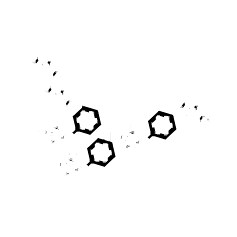 O=[As](O)(F)Oc1ccccc1.O=[As](O)(F)Oc1ccccc1.O=[As](O)(F)Oc1ccccc1.O=[As](O)(O)F.O=[As](O)(O)F.O=[As](O)(O)F